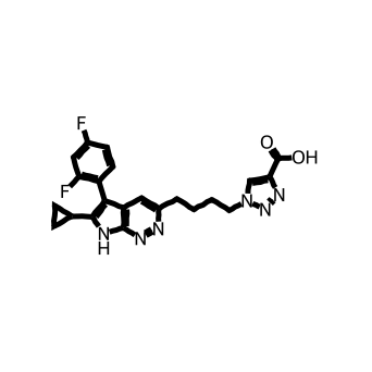 O=C(O)c1cn(CCCCc2cc3c(-c4ccc(F)cc4F)c(C4CC4)[nH]c3nn2)nn1